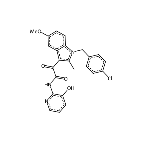 COc1ccc2c(c1)c(C(=O)C(=O)Nc1ncccc1O)c(C)n2Cc1ccc(Cl)cc1